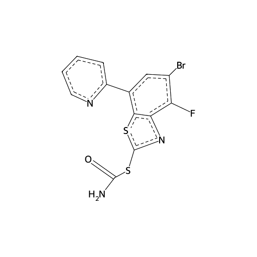 NC(=O)Sc1nc2c(F)c(Br)cc(-c3ccccn3)c2s1